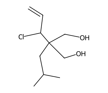 C=CC(Cl)C(CO)(CO)CC(C)C